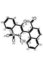 CN1C(c2c(C=O)ccc3ccccc23)=C(O)c2ccccc2S1(=O)=O